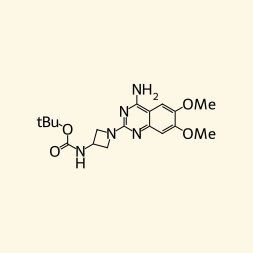 COc1cc2nc(N3CC(NC(=O)OC(C)(C)C)C3)nc(N)c2cc1OC